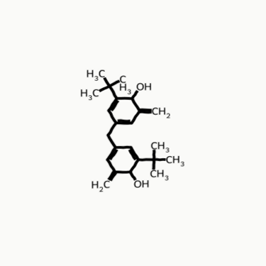 C=C1C=C(CC2=CC(=C)C(O)C(C(C)(C)C)=C2)C=C(C(C)(C)C)C1O